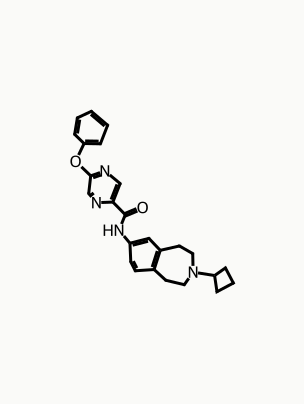 O=C(Nc1ccc2c(c1)CCN(C1CCC1)CC2)c1cnc(Oc2ccccc2)cn1